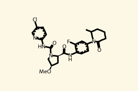 CO[C@@H]1C[C@H](C(=O)Nc2ccc(N3C(=O)CCCC3C)cc2F)N(C(=O)Nc2ccc(Cl)cn2)C1